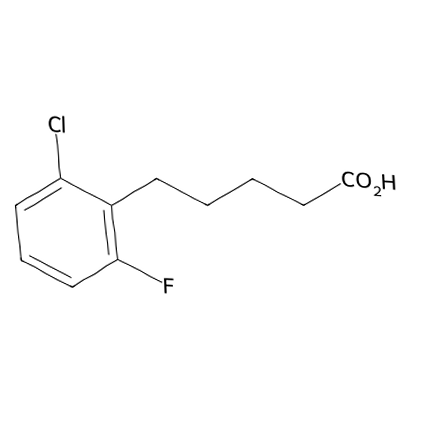 O=C(O)CCCCc1c(F)cccc1Cl